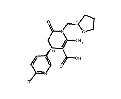 CC1=C(C(=O)O)[C@@H](c2ccc(Cl)nc2)CC(=O)N1C[C@H]1CCCO1